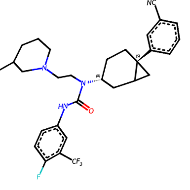 CC1CCCN(CCN(C(=O)Nc2ccc(F)c(C(F)(F)F)c2)[C@@H]2CC[C@]3(c4cccc(C#N)c4)CC3C2)C1